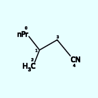 CCCC(C)CC#N